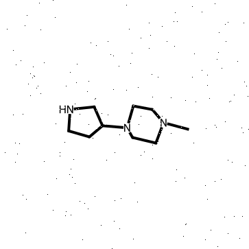 CN1CCN(C2CCNC2)CC1